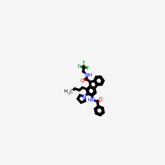 CCCCc1c2c(cc(NC(=O)c3ccccc3)c1N1CCCC1)-c1ccccc1C2C(=O)NCC(F)(F)F